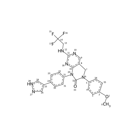 COc1ccc(N2Cc3cnc(NCC(F)(F)F)nc3N(c3ccc(-c4cn[nH]c4)cc3)C2=O)cc1